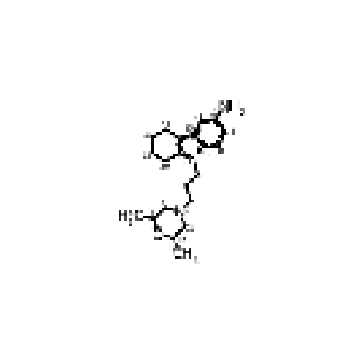 CC1CN(CCCn2c3c(c4cc(N)ccc42)CCCC3)C[C@@H](C)O1